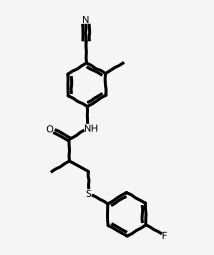 Cc1cc(NC(=O)C(C)CSc2ccc(F)cc2)ccc1C#N